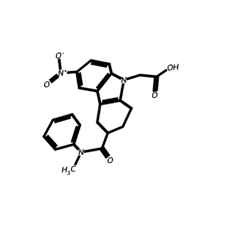 CN(C(=O)C1CCc2c(c3cc([N+](=O)[O-])ccc3n2CC(=O)O)C1)c1ccccc1